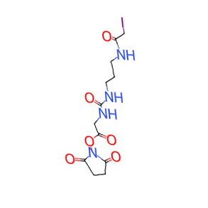 O=C(CI)NCCCNC(=O)NCC(=O)ON1C(=O)CCC1=O